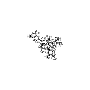 CC(C)(C)c1cc(C(C)(CC(=O)OC2CCC2OC(=O)CC(C)(c2ccc(O)c(C(C)(C)C)c2)c2ccc(O)c(C(C)(C)C)c2)c2ccc(O)c(C(C)(C)C)c2)ccc1O